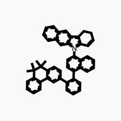 CC1(C)c2ccccc2-c2cc(-c3ccccc3-c3ccc(-n4c5c(c6cc7ccccc7cc64)CCC=C5)c4ccccc34)ccc2C1(C)C